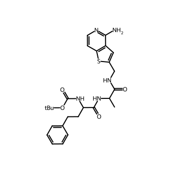 CC(NC(=O)C(CCc1ccccc1)NC(=O)OC(C)(C)C)C(=O)NCc1cc2c(N)nccc2s1